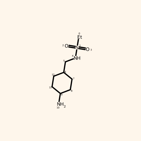 CCS(=O)(=O)NCC1CCC(N)CC1